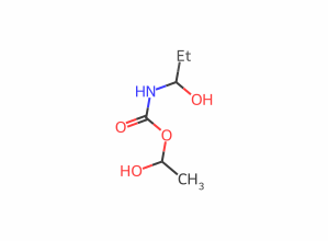 CCC(O)NC(=O)OC(C)O